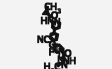 Cc1n[nH]c(C(=O)N2CC[C@H](Oc3ccc(-c4ccnc(NC(=O)C5CC5C)c4)cc3C#N)[C@H](F)C2)n1